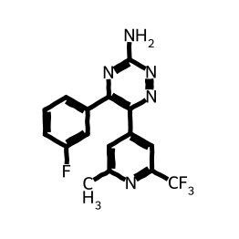 Cc1cc(-c2nnc(N)nc2-c2cccc(F)c2)cc(C(F)(F)F)n1